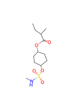 CCC(C)C(=O)OC1CCC(OS(=O)(=O)NC)CC1